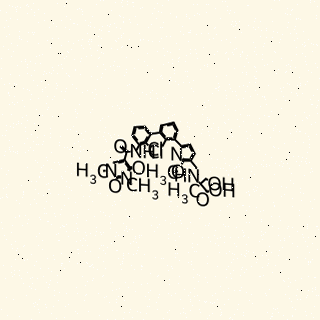 COc1nc(-c2cccc(-c3cccc(NC(=O)c4cn(C)c(=O)n(C)c4=O)c3Cl)c2Cl)ccc1CN[C@@](C)(CO)C(=O)O